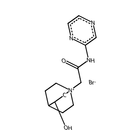 O=C(C[N+]12CCC(CC1)C(O)C2)Nc1cnccn1.[Br-]